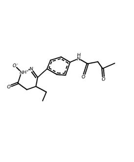 CCC1CC(=O)[NH+]([O-])N=C1c1ccc(NC(=O)CC(C)=O)cc1